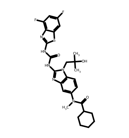 CN(C(=O)C1CCCCC1)c1ccc2c(c1)nc(NC(=O)Nc1nc3c(F)cc(F)cc3s1)n2CC(C)(C)O